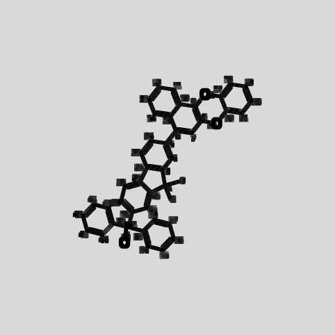 CC1(C)c2cc(-c3cc4c(c5ccccc35)Oc3ccccc3O4)ccc2-c2ccc(P(=O)(c3ccccc3)c3ccccc3)cc21